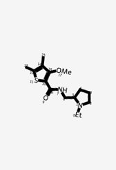 CCN1CCCC1CNC(=O)c1sc(C)c(C)c1OC